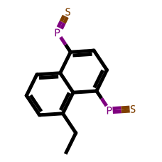 CCc1cccc2c(P=S)ccc(P=S)c12